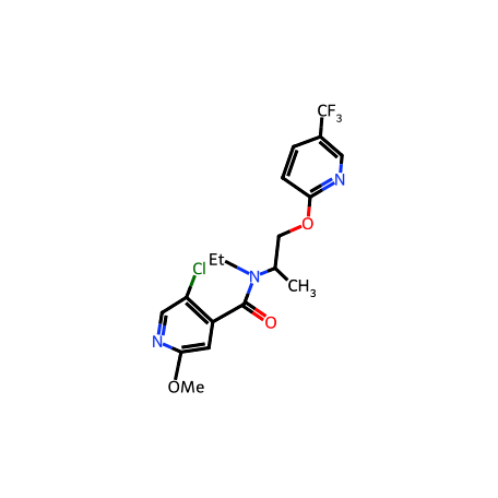 CCN(C(=O)c1cc(OC)ncc1Cl)C(C)COc1ccc(C(F)(F)F)cn1